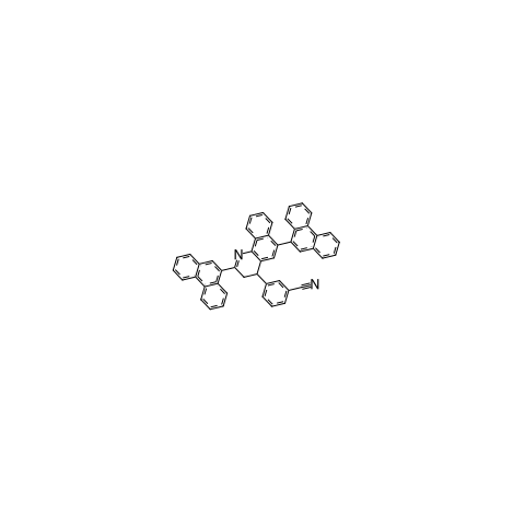 N#Cc1cccc(C2CC(c3cc4ccccc4c4ccccc34)=Nc3c2cc(-c2cc4ccccc4c4ccccc24)c2ccccc32)c1